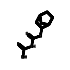 OC(=S)NC(=S)OC1CC2CCC1C2